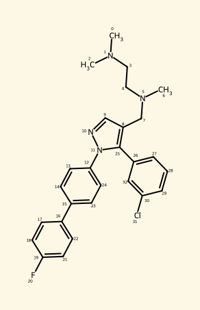 CN(C)CCN(C)Cc1cnn(-c2ccc(-c3ccc(F)cc3)cc2)c1-c1cccc(Cl)c1